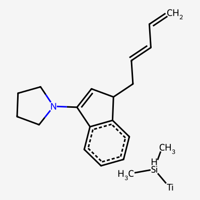 C=CC=CCC1C=C(N2CCCC2)c2ccccc21.C[SiH](C)[Ti]